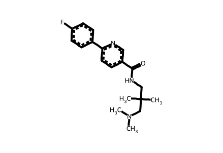 CN(C)CC(C)(C)CNC(=O)c1ccc(-c2ccc(F)cc2)nc1